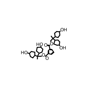 CC(COC(=O)c1cccc(C(=O)OCC(C)(C2CCC(O)CC2)C2CCC(O)CC2)c1)(C1CCC(O)CC1)C1CCC(O)CC1